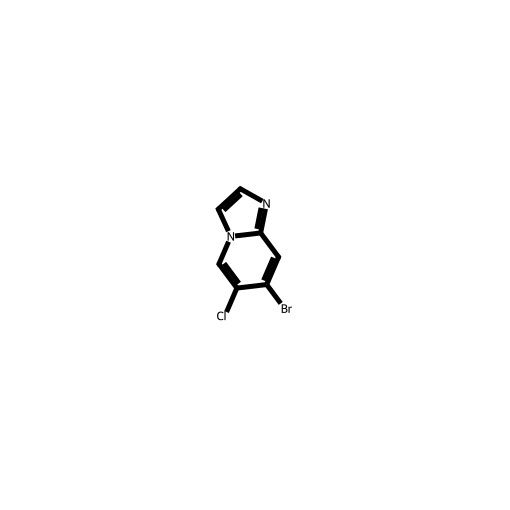 Clc1cn2ccnc2cc1Br